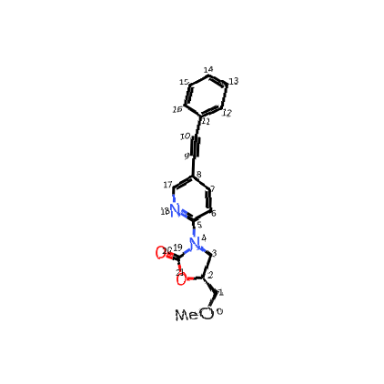 COC[C@@H]1CN(c2ccc(C#Cc3ccccc3)cn2)C(=O)O1